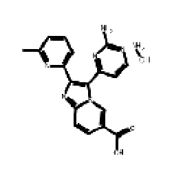 Cc1cccc(-c2nc3ccc(C(=O)O)cn3c2-c2ccnc(N)n2)n1.NO